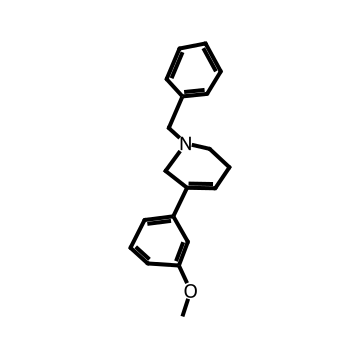 COc1cccc(C2=CCCN(Cc3ccccc3)C2)c1